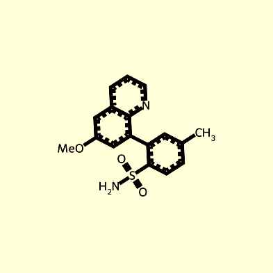 COc1cc(-c2cc(C)ccc2S(N)(=O)=O)c2ncccc2c1